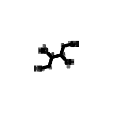 OC([CH]S)C(O)CS